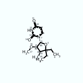 CCC1(CC)O[C@@H](n2ccc(=O)[nH]c2=O)[C@H](OC)[C@@H]1C